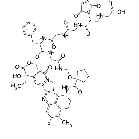 CC[C@@]1(O)C(=O)OCc2c1cc1n(c2=O)Cc2c-1nc1cc(F)c(C)c3c1c2[C@@H](NC(=O)C1(OCNC(=O)CNC(=O)[C@H](Cc2ccccc2)NC(=O)CNC(=O)CNC(=O)[C@@H](CNCC(=O)O)N2C(=O)C=CC2=O)CCCC1)CC3